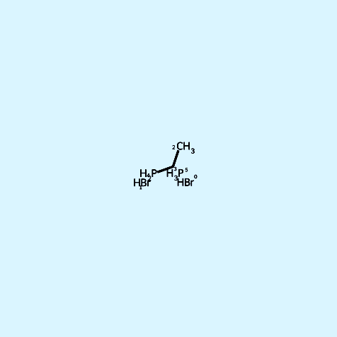 Br.Br.CCP.P